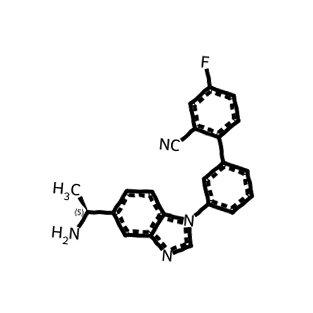 C[C@H](N)c1ccc2c(c1)ncn2-c1cccc(-c2ccc(F)cc2C#N)c1